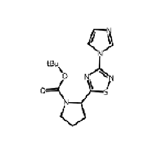 CC(C)(C)OC(=O)N1CCCC1c1nc(-n2ccnc2)ns1